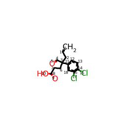 C=CCC(C=O)(CCC(=O)O)c1ccc(Cl)c(Cl)c1